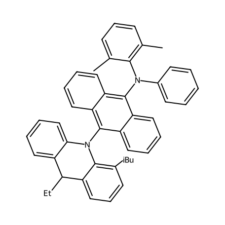 CCC(C)c1cccc2c1N(c1c3ccccc3c(N(c3ccccc3)c3c(C)cccc3C)c3ccccc13)c1ccccc1C2CC